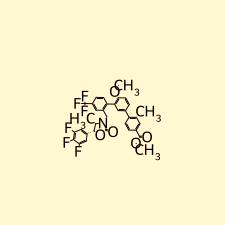 COC(=O)c1ccc(-c2ccc(OC)c(-c3ccc(C(F)(F)F)cc3CN3C(=O)O[C@H](c4cc(F)c(F)c(F)c4)[C@@H]3C)c2)c(C)c1